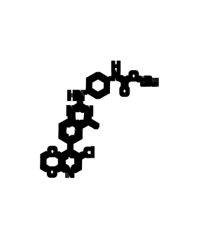 Cc1nc(N[C@H]2CC[C@@H](NC(=O)OC(C)(C)C)CC2)nc2ccc(-c3c(Cl)cnc4c3OCCO4)cc12